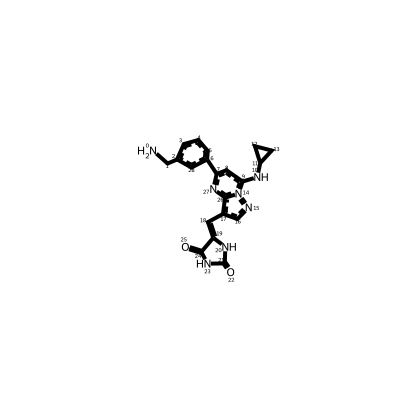 NCc1cccc(-c2cc(NC3CC3)n3ncc(/C=C4\NC(=O)NC4=O)c3n2)c1